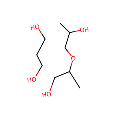 CC(O)COC(C)CO.OCCCO